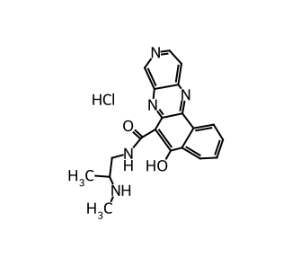 CNC(C)CNC(=O)c1c(O)c2ccccc2c2nc3ccncc3nc12.Cl